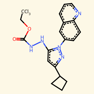 O=C(NNc1cc(C2CCC2)nn1-c1ccc2ncccc2c1)OCC(Cl)(Cl)Cl